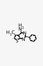 Cc1[c]sc2nc(-c3ccccc3)nc(N)c12